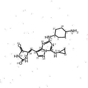 NC1CCC(Nc2nc(NC3CC3)n3ncc(/C=C4\NC(=O)NC4=O)c3n2)CC1